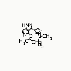 CC(C)Oc1nccc2[nH]nc(-c3c[c]n(C(C)C)c3)c12